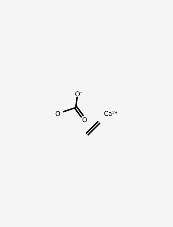 C=C.O=C([O-])[O-].[Ca+2]